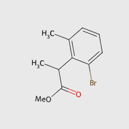 COC(=O)C(C)c1c(C)cccc1Br